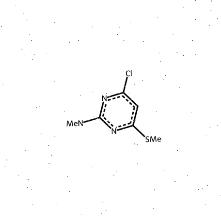 CNc1nc(Cl)cc(SC)n1